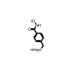 [CH2]CNC(=O)c1ccc(CCCCCCCC)cc1